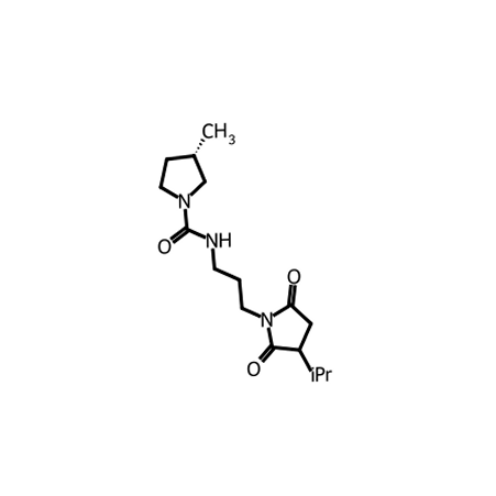 CC(C)C1CC(=O)N(CCCNC(=O)N2CC[C@H](C)C2)C1=O